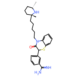 C[C@H]1CCC[C@@](C)(CCCCCN2C(=O)C(c3cccc(C(=N)N)c3)Sc3ccccc32)N1